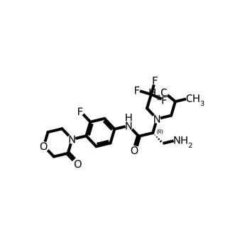 CC(C)CN(CC(F)(F)F)[C@H](CN)C(=O)Nc1ccc(N2CCOCC2=O)c(F)c1